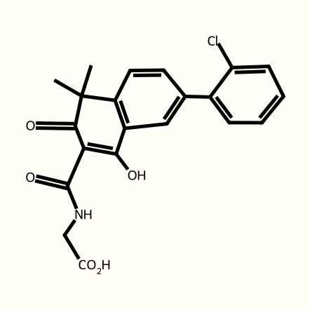 CC1(C)C(=O)C(C(=O)NCC(=O)O)=C(O)c2cc(-c3ccccc3Cl)ccc21